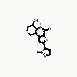 Cn1nccc1-c1cc2c3c([nH]c(=O)c2s1)C(O)COC3